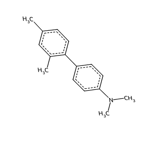 Cc1ccc(-c2ccc(N(C)C)cc2)c(C)c1